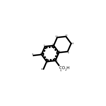 Cc1cc2c(c(C(=O)O)c1C)CCCC2